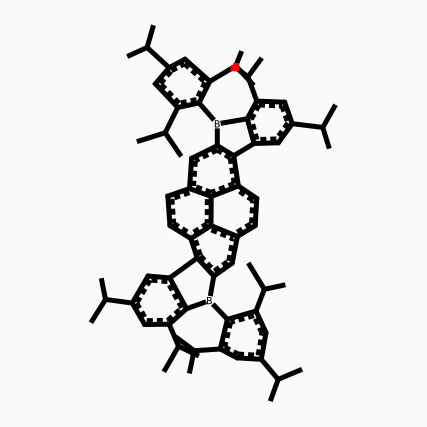 CC(C)c1cc2c(c(C(C)C)c1)B(c1c(C(C)C)cc(C(C)C)cc1C(C)C)c1cc3ccc4c5c(cc6ccc(c1-2)c3c64)B(c1c(C(C)C)cc(C(C)C)cc1C(C)C)c1c-5cc(C(C)C)cc1C(C)C